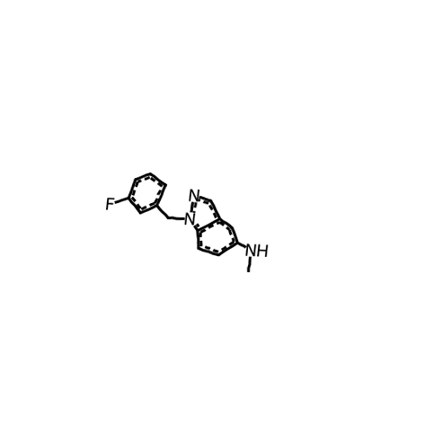 CNc1ccc2c(cnn2Cc2cccc(F)c2)c1